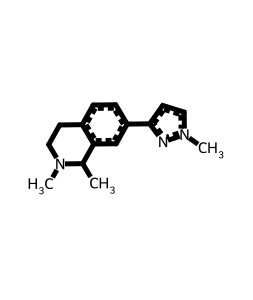 CC1c2cc(-c3ccn(C)n3)ccc2CCN1C